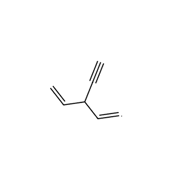 [CH]=CC(C#C)C=C